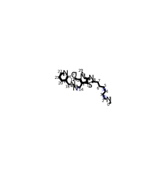 C=N/C=C\C=C/CCc1nc2c(s1)c(/C=N\N(C)Cc1cccnc1)c(C=O)n2C